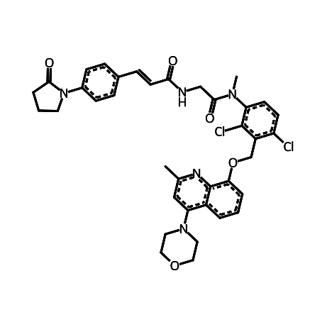 Cc1cc(N2CCOCC2)c2cccc(OCc3c(Cl)ccc(N(C)C(=O)CNC(=O)/C=C/c4ccc(N5CCCC5=O)cc4)c3Cl)c2n1